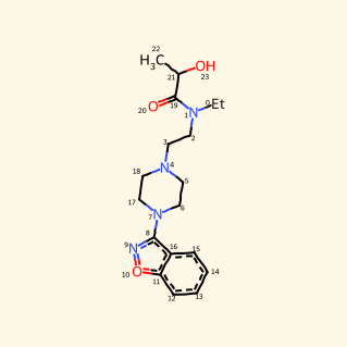 CCN(CCN1CCN(c2noc3ccccc23)CC1)C(=O)C(C)O